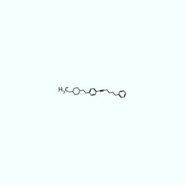 CCC1CCC(CCc2ccc(C#CCCCCc3ccccc3)cc2)CC1